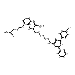 COC(=O)CCCOc1ccccc1CC(CCCCCCOc1cc(-c2ccccc2)cc(-c2ccc(F)cc2)n1)C(=O)OC